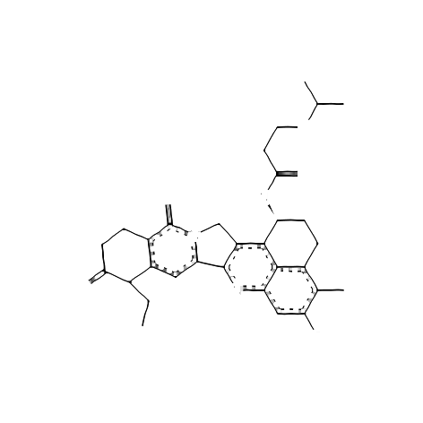 CC[C@@]1(O)C(=O)CCc2c1cc1n(c2=O)Cc2c-1nc1cc(F)c(C)c3c1c2[C@@H](NC(=O)C[C@H](C)OC(C)C)CC3